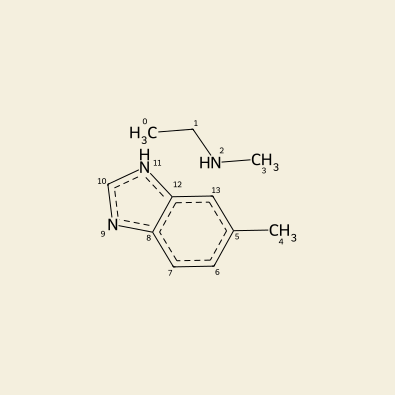 CCNC.Cc1ccc2nc[nH]c2c1